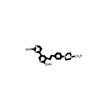 CNc1nccc(-c2cnc(OC)c(C=Cc3ccc(N4CCN(C(=O)O)CC4)cc3)c2)n1